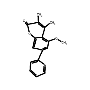 COc1cc(-c2ccccn2)cc2oc(=O)c(C)c(C)c12